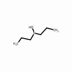 CCCN(O)CCC